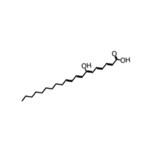 CCCCCCCCCC=CC=CC(O)=CC=CC=CC(=O)O